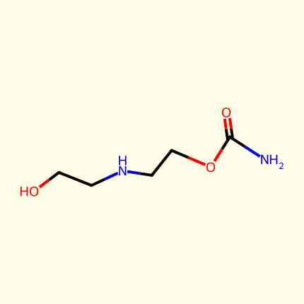 NC(=O)OCCNCCO